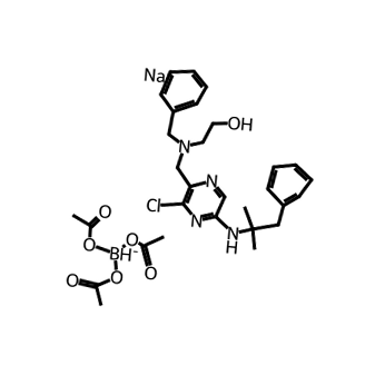 CC(=O)O[BH-](OC(C)=O)OC(C)=O.CC(C)(Cc1ccccc1)Nc1cnc(CN(CCO)Cc2ccccc2)c(Cl)n1.[Na+]